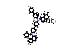 CC1(C)CCC(C)(C)c2cc(N(c3ccc(-c4ccccc4)cc3)c3ccc(-c4ccc(N(c5ccccc5)c5cccc6ccccc56)cc4)cc3)ccc21